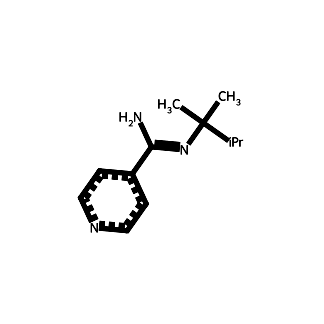 CC(C)C(C)(C)/N=C(\N)c1ccncc1